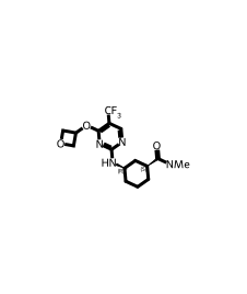 CNC(=O)[C@H]1CCC[C@@H](Nc2ncc(C(F)(F)F)c(OC3COC3)n2)C1